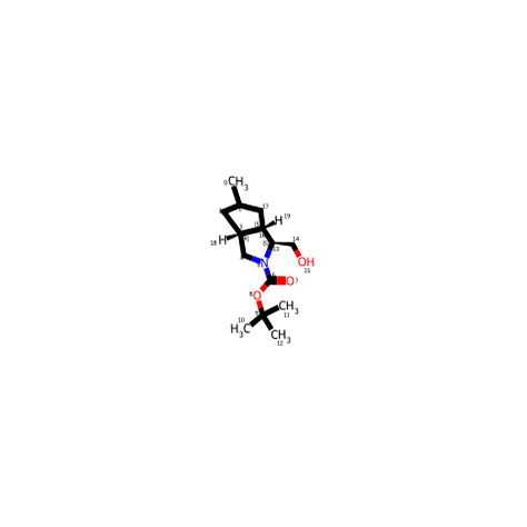 CC1C[C@H]2CN(C(=O)OC(C)(C)C)[C@H](CO)[C@H]2C1